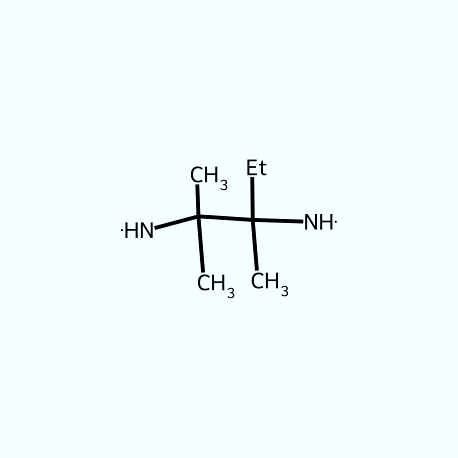 CCC(C)([NH])C(C)(C)[NH]